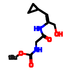 CC(C)(C)OC(=O)NCC(=O)NC(=CC1CC1)CO